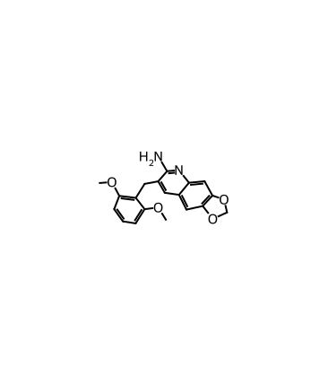 COc1cccc(OC)c1Cc1cc2cc3c(cc2nc1N)OCO3